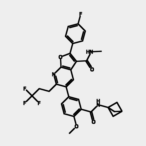 CNC(=O)c1c(-c2ccc(F)cc2)oc2nc(CCC(F)(F)F)c(-c3ccc(OC)c(C(=O)NC45CC(C4)C5)c3)cc12